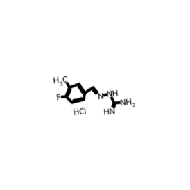 Cc1cc(C=NNC(=N)N)ccc1F.Cl